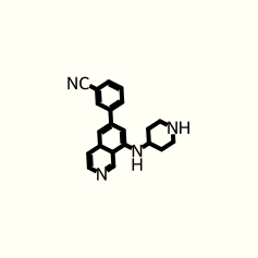 N#Cc1cccc(C2=CC3C=CN=CC3C(NC3CCNCC3)=C2)c1